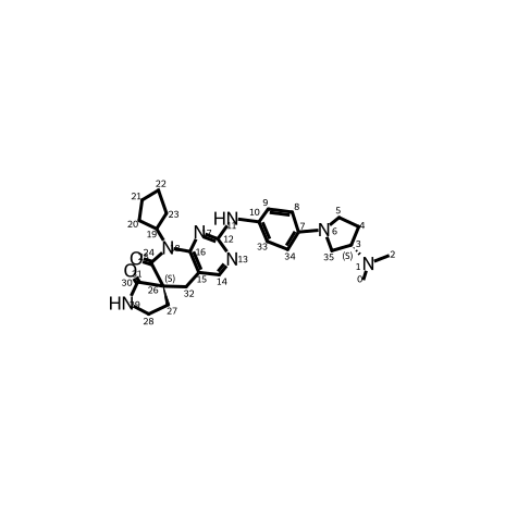 CN(C)[C@H]1CCN(c2ccc(Nc3ncc4c(n3)N(C3CCCC3)C(=O)[C@]3(CCNC3=O)C4)cc2)C1